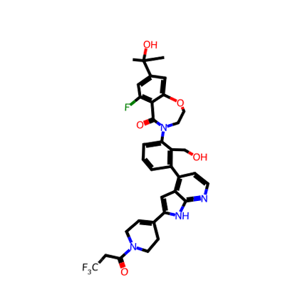 CC(C)(O)c1cc(F)c2c(c1)OCCN(c1cccc(-c3ccnc4[nH]c(C5=CCN(C(=O)CC(F)(F)F)CC5)cc34)c1CO)C2=O